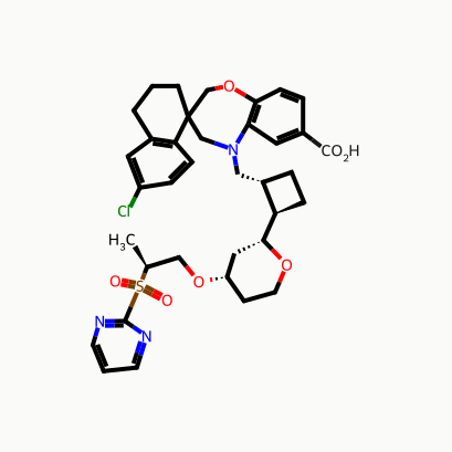 C[C@@H](CO[C@H]1CCO[C@@H]([C@@H]2CC[C@H]2CN2CC3(CCCc4cc(Cl)ccc43)COc3ccc(C(=O)O)cc32)C1)S(=O)(=O)c1ncccn1